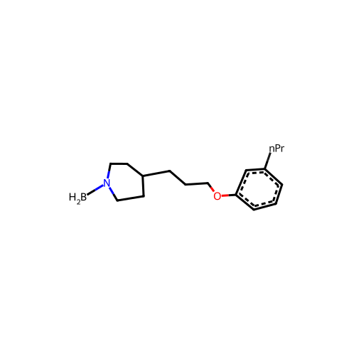 BN1CCC(CCCOc2cccc(CCC)c2)CC1